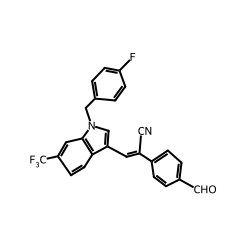 N#C/C(=C\c1cn(Cc2ccc(F)cc2)c2cc(C(F)(F)F)ccc12)c1ccc(C=O)cc1